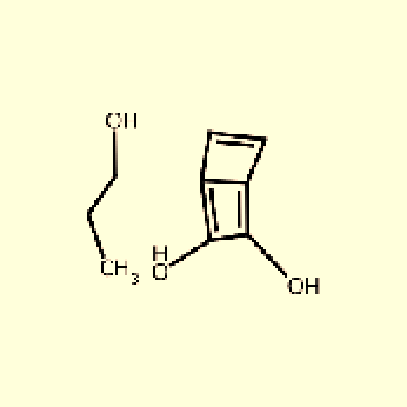 CCCO.Oc1c2ccc-2c1O